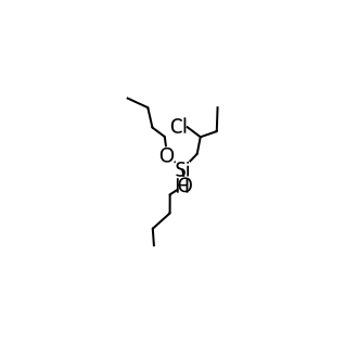 CCCCO[SiH](CC(Cl)CC)OCCCC